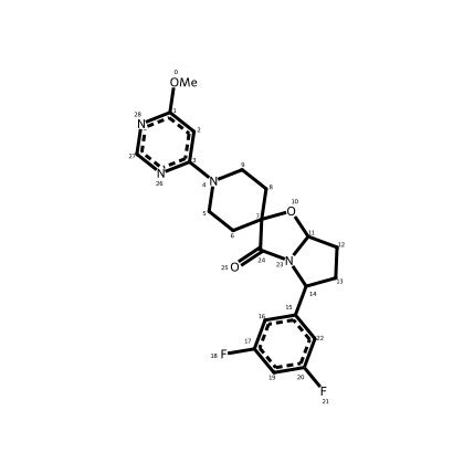 COc1cc(N2CCC3(CC2)OC2CCC(c4cc(F)cc(F)c4)N2C3=O)ncn1